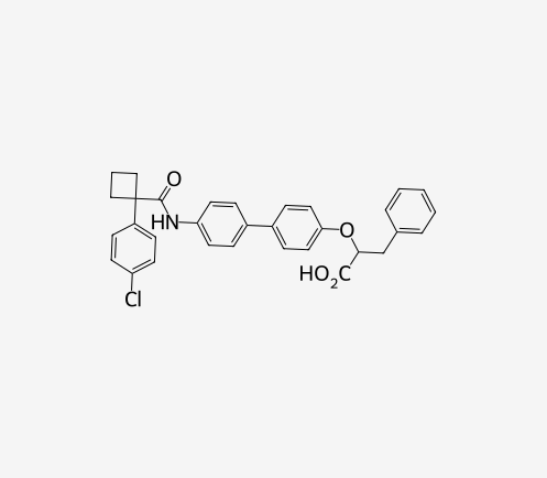 O=C(O)C(Cc1ccccc1)Oc1ccc(-c2ccc(NC(=O)C3(c4ccc(Cl)cc4)CCC3)cc2)cc1